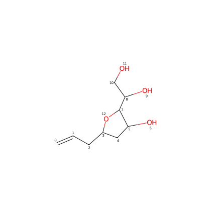 C=CCC1CC(O)C(C(O)CO)O1